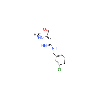 CN/C(C=O)=C\C(=N)NCc1cccc(Cl)c1